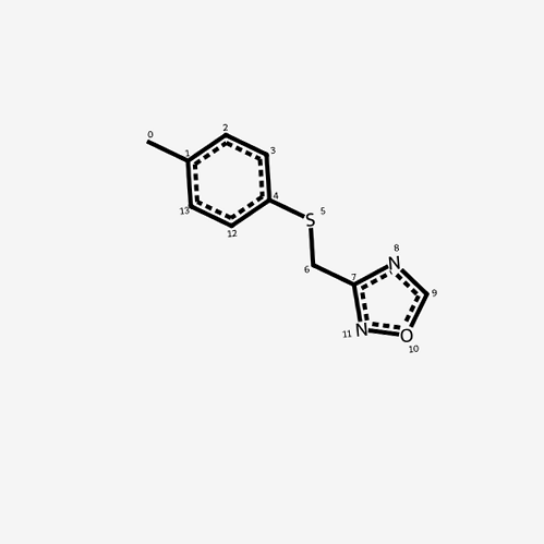 Cc1ccc(SCc2ncon2)cc1